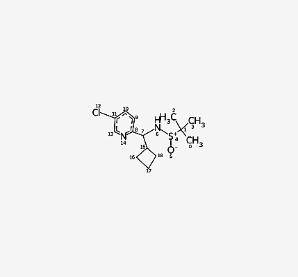 CC(C)(C)[S+]([O-])NC(c1ccc(Cl)cn1)C1CCC1